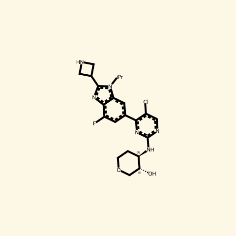 CC(C)n1c(C2CNC2)nc2c(F)cc(-c3nc(N[C@@H]4CCOC[C@H]4O)ncc3Cl)cc21